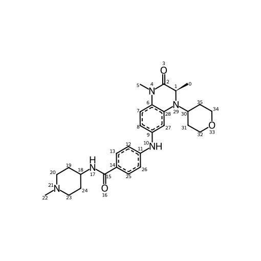 C[C@@H]1C(=O)N(C)c2ccc(Nc3ccc(C(=O)NC4CCN(C)CC4)cc3)cc2N1C1CCOCC1